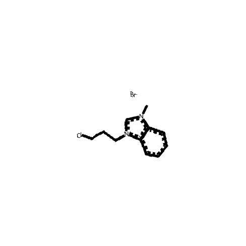 Cn1c[n+](CCCCl)c2ccccc21.[Br-]